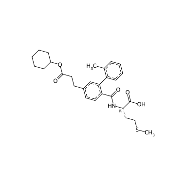 CSCC[C@H](NC(=O)c1ccc(CCC(=O)OC2CCCCC2)cc1-c1ccccc1C)C(=O)O